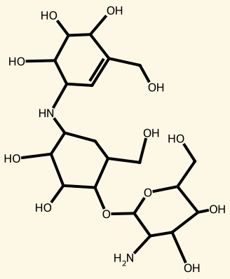 NC1C(OC2C(CO)CC(NC3C=C(CO)C(O)C(O)C3O)C(O)C2O)OC(CO)C(O)C1O